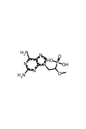 COC(Cn1cnc2c(N)nc(N)nc21)P(=O)(O)O